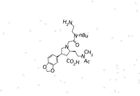 CCCCN(CCN)C(=O)CN1C[C@H](c2ccc3c(c2)OCO3)[C@@H](C(=O)O)[C@@H]1CCN(C)C(C)=O